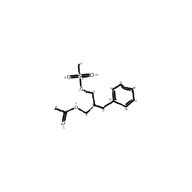 CC(=O)OC[C@@H](COS(C)(=O)=O)Cc1ccccc1